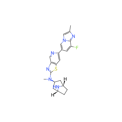 Cc1cn2cc(-c3cc4sc(N(C)[C@@H]5C[C@H]6CC[C@@H](C5)N6)nc4cn3)cc(F)c2n1